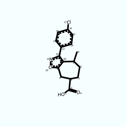 CC1CCC(C(=O)O)Cc2onc(-c3ccc(Cl)cc3)c21